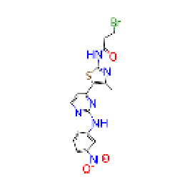 Cc1nc(NC(=O)CCBr)sc1-c1ccnc(Nc2cccc([N+](=O)[O-])c2)n1